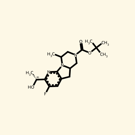 CC1CN(C(=O)OC(C)(C)C)CC2Cc3cc(F)c([C@@H](C)O)nc3N12